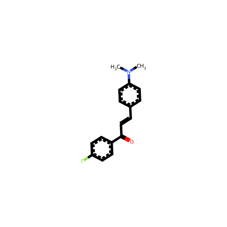 CN(C)c1ccc(C=CC(=O)c2ccc(F)cc2)cc1